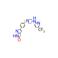 O=C1Cc2cc(-c3ccc(SN4CCC(Nc5ccc(C(F)(F)F)cn5)CC4)cc3)cnc2N1